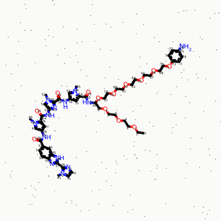 CCOCCOCCOCC(NC(=O)c1cc(NC(=O)c2nc(NC(=O)c3cc(NC(=O)c4ccc5nc(-c6nccn6C)[nH]c5c4)cn3C)cn2C)cn1C)OCCOCCOCCOCCOCCOc1ccc(N)cc1